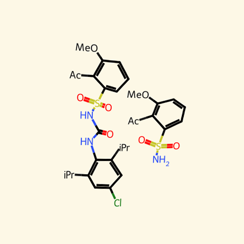 COc1cccc(S(=O)(=O)NC(=O)Nc2c(C(C)C)cc(Cl)cc2C(C)C)c1C(C)=O.COc1cccc(S(N)(=O)=O)c1C(C)=O